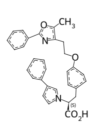 Cc1oc(-c2ccccc2)nc1CCOc1ccc(C[C@@H](C(=O)O)n2ccc(-c3ccccc3)c2)cc1